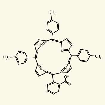 Cc1ccc(C2=C3C=CC(=N3)C(c3ccc(C)cc3)=C3C=CC(=N3)C(c3ccccc3C(=O)O)=C3C=CC(=N3)C(c3ccc(C)cc3)=C3C=CC2=N3)cc1